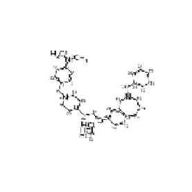 CN(C)c1ccc(CN2CCC(CCOc3ccc4c(c3)CN(Cc3ccccc3)CCC4)CC2)cc1.Cl.Cl.Cl